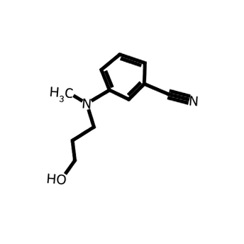 CN(CCCO)c1cccc(C#N)c1